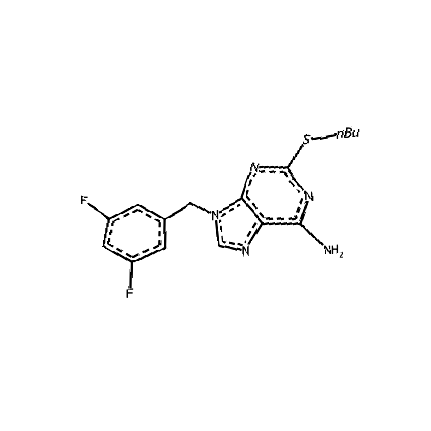 CCCCSc1nc(N)c2ncn(Cc3cc(F)cc(F)c3)c2n1